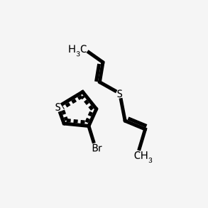 Brc1ccsc1.CC=CSC=CC